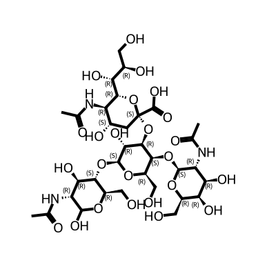 CC(=O)N[C@H]1[C@H](O[C@@H]2[C@H](O[C@]3(C(=O)O)C[C@H](O)[C@@H](NC(C)=O)[C@H]([C@H](O)[C@H](O)CO)O3)[C@@H](O)[C@H](O[C@H]3[C@H](O)[C@@H](NC(C)=O)C(O)O[C@@H]3CO)O[C@@H]2CO)O[C@H](CO)[C@H](O)[C@@H]1O